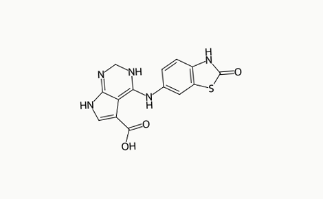 O=C(O)c1c[nH]c2c1=C(Nc1ccc3[nH]c(=O)sc3c1)NCN=2